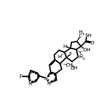 C[C@@H]1C[C@H]2[C@@H]3CCC4=Cc5c(cnn5-c5ccc(F)nc5)C[C@]4(C)[C@@]3(F)[C@@H](O)C[C@]2(C)[C@@]1(O)C(=O)S